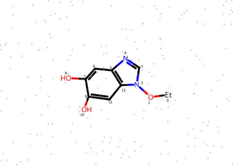 CCOn1cnc2cc(O)c(O)cc21